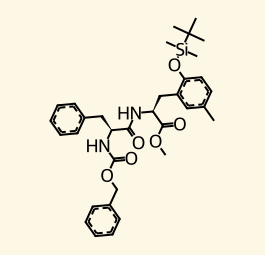 COC(=O)[C@H](Cc1cc(C)ccc1O[Si](C)(C)C(C)(C)C)NC(=O)[C@H](Cc1ccccc1)NC(=O)OCc1ccccc1